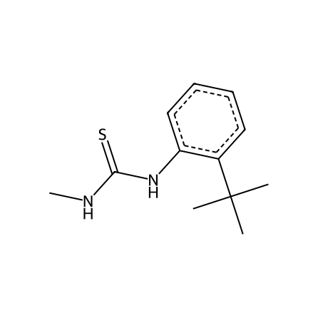 CNC(=S)Nc1ccccc1C(C)(C)C